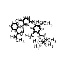 CNC(=O)c1ccccc1Nc1nc(Nc2cc(C)c(CCN(C)C(C)(C)C)cc2OC)ncc1Cl